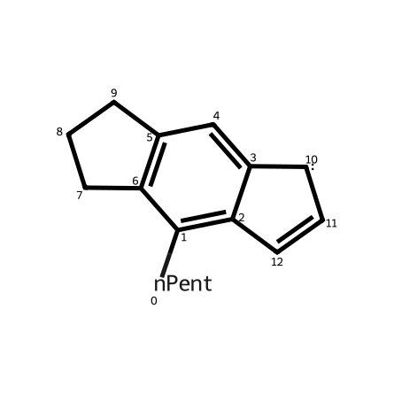 CCCCCc1c2c(cc3c1CCC3)[C]C=C2